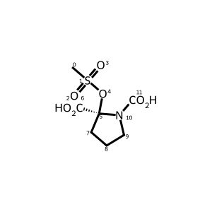 CS(=O)(=O)O[C@]1(C(=O)O)CCCN1C(=O)O